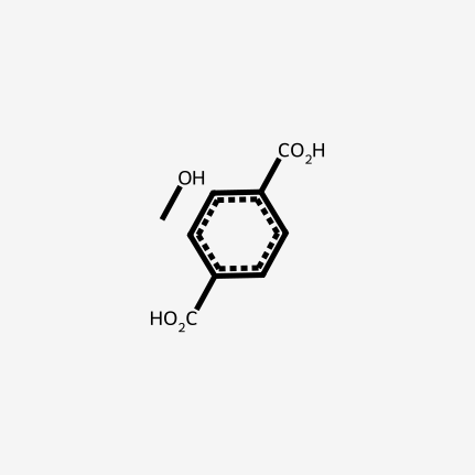 CO.O=C(O)c1ccc(C(=O)O)cc1